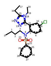 CCCCN(c1ccc(Cl)cc1-c1nnc(CC)n1CC)S(=O)(=O)c1ccccc1